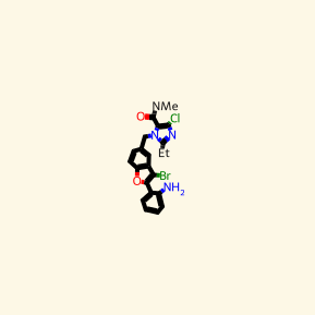 CCc1nc(Cl)c(C(=O)NC)n1Cc1ccc2oc(-c3ccccc3N)c(Br)c2c1